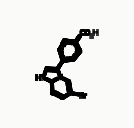 O=C(O)c1ccc(C2=CNC3C=CC(Br)=CN23)cc1